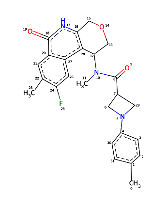 Cc1ccc(N2CC(C(=O)N(C)C3COCc4[nH]c(=O)c5cc(C)c(F)cc5c43)C2)cc1